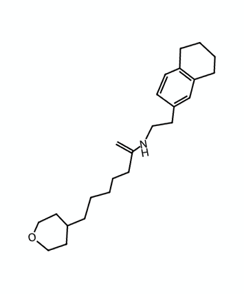 C=C(CCCCCC1CCOCC1)NCCc1ccc2c(c1)CCCC2